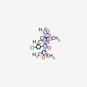 COc1ncc(-c2nc3c(n2C(C)C)C(c2ccc(Cl)cc2)N(c2cc(C)c(=O)n(C)c2)C3=O)c(OC)n1